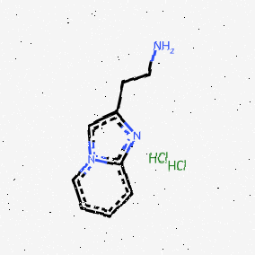 Cl.Cl.NCCc1cn2ccccc2n1